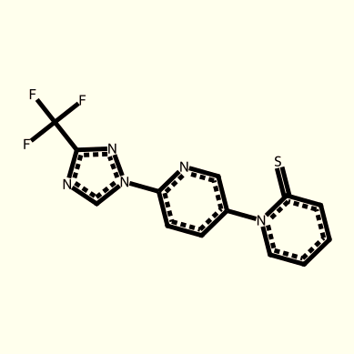 FC(F)(F)c1ncn(-c2ccc(-n3ccccc3=S)cn2)n1